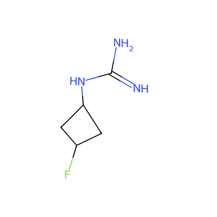 N=C(N)NC1CC(F)C1